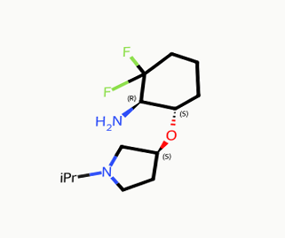 CC(C)N1CC[C@H](O[C@H]2CCCC(F)(F)[C@@H]2N)C1